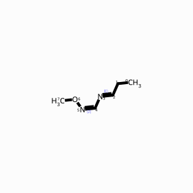 CC/C=N/C=N\OC